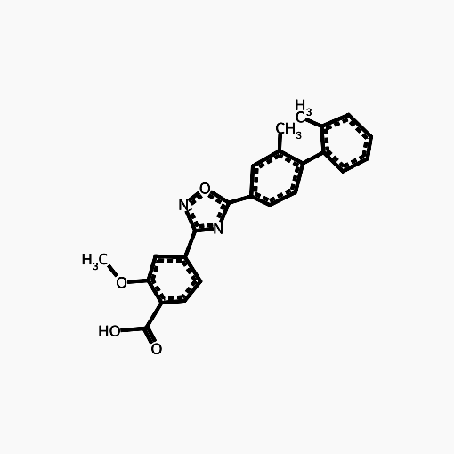 COc1cc(-c2noc(-c3ccc(-c4ccccc4C)c(C)c3)n2)ccc1C(=O)O